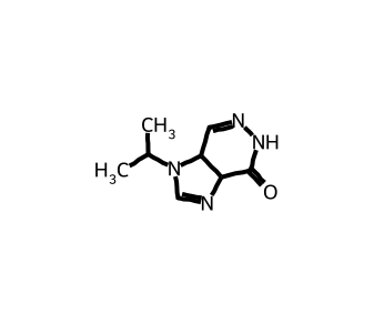 CC(C)N1C=NC2C(=O)NN=CC21